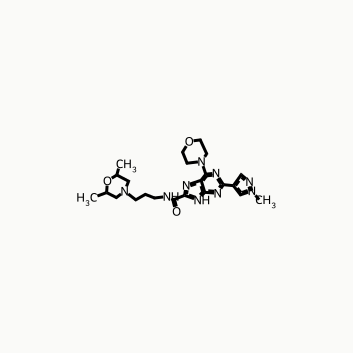 CC1CN(CCCNC(=O)c2nc3c(N4CCOCC4)nc(-c4cnn(C)c4)nc3[nH]2)CC(C)O1